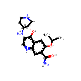 CC(C)Oc1cc2c(O[C@H]3CNCC[C@@H]3N)ccnc2cc1C(N)=O